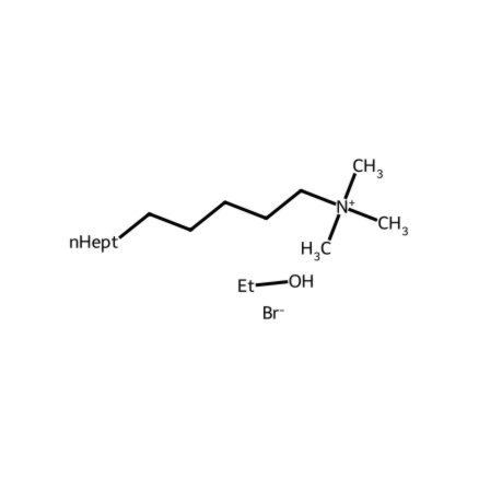 CCCCCCCCCCCC[N+](C)(C)C.CCO.[Br-]